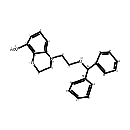 CC(=O)Oc1cccc2c1OCCN2CCOC(c1ccccc1)c1ccccc1